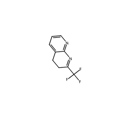 FC(F)(F)C1=Nc2ncccc2CC1